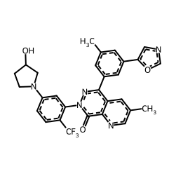 Cc1cc(-c2cnco2)cc(-c2nn(-c3cc(N4CCC(O)C4)ccc3C(F)(F)F)c(=O)c3ncc(C)cc23)c1